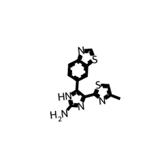 Cc1csc(-c2nc(N)[nH]c2-c2ccc3ncsc3c2)n1